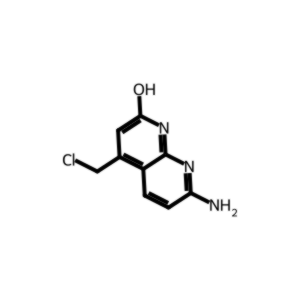 Nc1ccc2c(CCl)cc(O)nc2n1